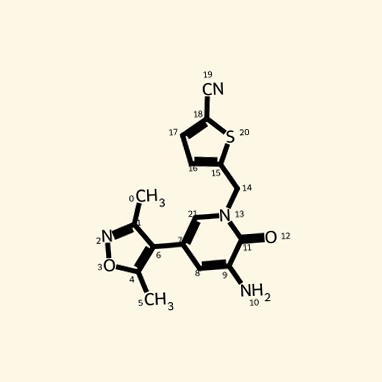 Cc1noc(C)c1-c1cc(N)c(=O)n(Cc2ccc(C#N)s2)c1